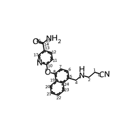 N#CCCNCc1ccc(Oc2ccc(C(N)=O)cn2)c2ccccc12